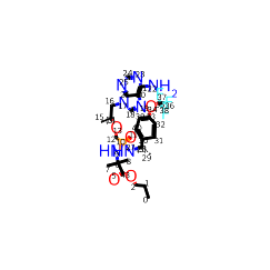 CCCOC(=O)C(C)(C)NP(=O)(CO[C@@H](C)Cn1cnc2c(N)ncnc21)N[C@@H](C)c1ccc(OC(F)(F)F)cc1